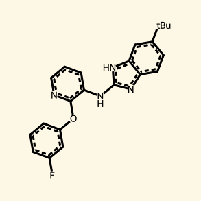 CC(C)(C)c1ccc2nc(Nc3cccnc3Oc3cccc(F)c3)[nH]c2c1